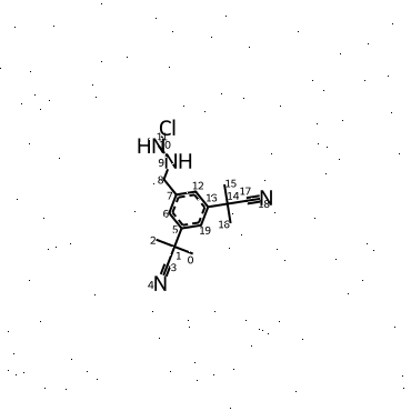 CC(C)(C#N)c1cc(CNNCl)cc(C(C)(C)C#N)c1